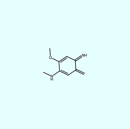 C=C1C=C(NC)C(OC)=CC1=N